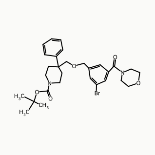 CC(C)(C)OC(=O)N1CCC(COCc2cc(Br)cc(C(=O)N3CCOCC3)c2)(c2ccccc2)CC1